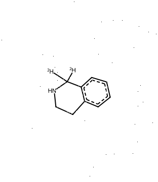 [2H]C1([2H])NCCc2ccccc21